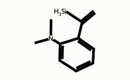 C=C([SiH3])c1ccccc1N(C)C